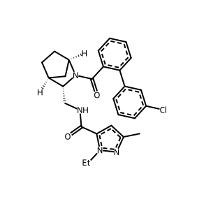 CCn1nc(C)cc1C(=O)NC[C@@H]1[C@H]2CC[C@H](C2)N1C(=O)c1ccccc1-c1cccc(Cl)c1